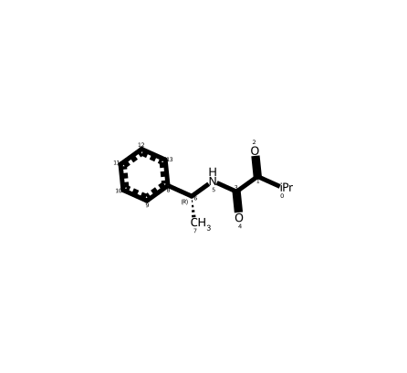 CC(C)C(=O)C(=O)N[C@H](C)c1ccccc1